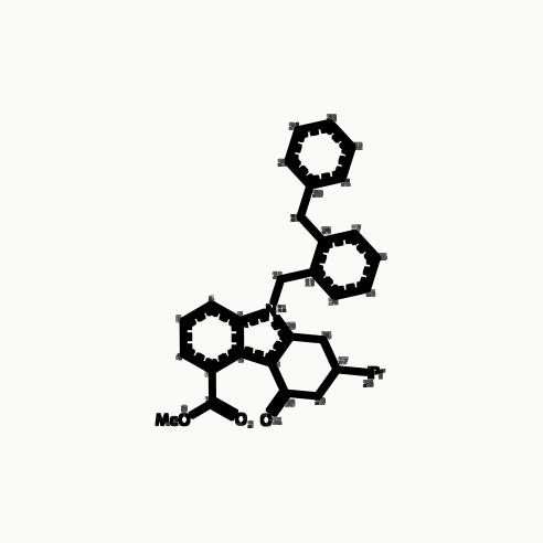 COC(=O)c1cccc2c1c1c(n2Cc2ccccc2Cc2ccccc2)CC(C(C)C)CC1=O